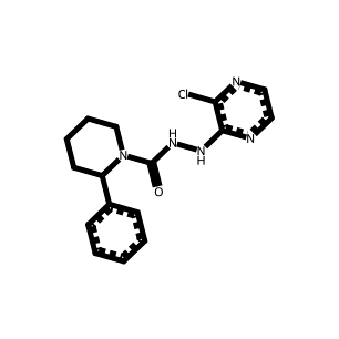 O=C(NNc1nccnc1Cl)N1CCCCC1c1ccccc1